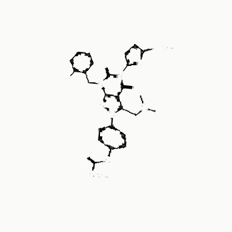 CNC(=O)Nc1ccc(-n2nc3c(c2CN(C)C)c(=O)n(-c2ccc(OC)[nH]2)c(=O)n3Cc2ccccc2C(F)(F)F)cc1